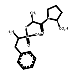 COP(=O)(O[C@@H](C)C(=O)N1CCC[C@H]1C(=O)O)C(N)Cc1ccccc1